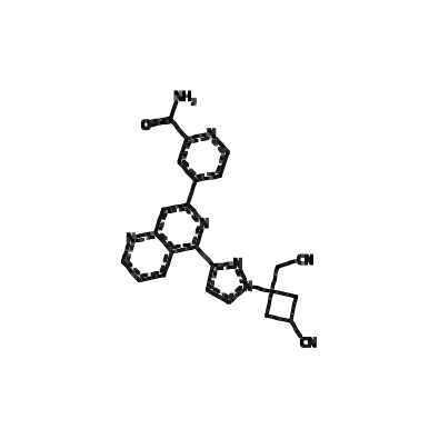 N#CCC1(n2ccc(-c3nc(-c4ccnc(C(N)=O)c4)cc4ncccc34)n2)CC(C#N)C1